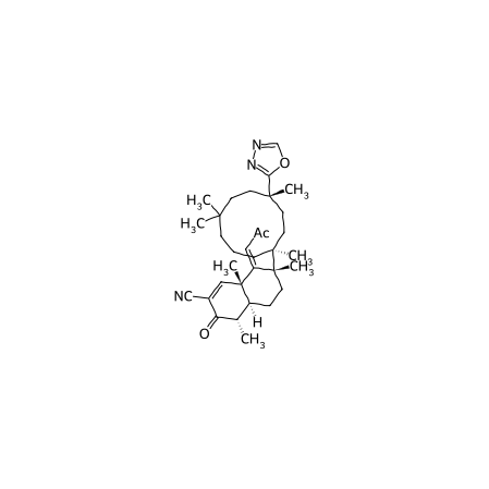 CC(=O)/C=C1/[C@@]2(C)C=C(C#N)C(=O)[C@@H](C)[C@@H]2CC[C@@]1(C)[C@@]1(C)CCCC(C)(C)CC[C@](C)(c2nnco2)CC1